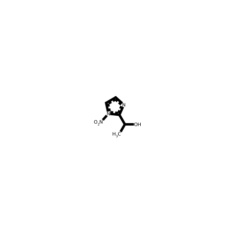 CC(O)c1nccn1[N+](=O)[O-]